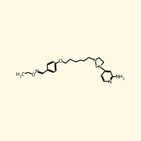 CCO/N=C/c1ccc(OCCCCCCN2CCN(c3ccnc(N)c3)S2)cc1